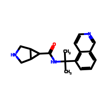 CC(C)(NC(=O)C1C2CNCC21)c1cccc2cnccc12